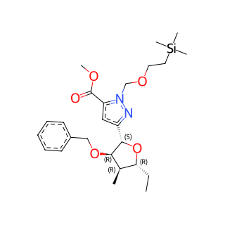 CC[C@H]1O[C@@H](c2cc(C(=O)OC)n(COCC[Si](C)(C)C)n2)[C@H](OCc2ccccc2)[C@@H]1C